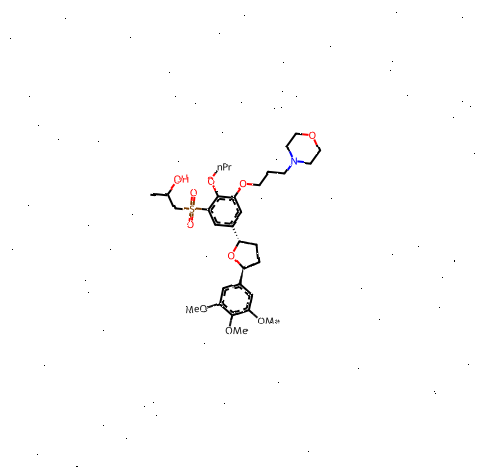 CCCOc1c(OCCCN2CCOCC2)cc([C@@H]2CC[C@@H](c3cc(OC)c(OC)c(OC)c3)O2)cc1S(=O)(=O)CC(C)O